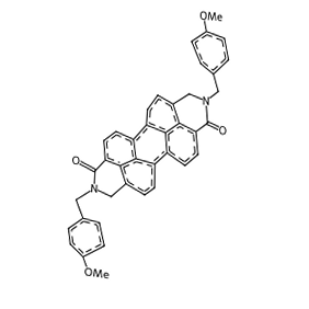 COc1ccc(CN2Cc3ccc4c5ccc6c7c(ccc(c8ccc(c3c48)C2=O)c75)CN(Cc2ccc(OC)cc2)C6=O)cc1